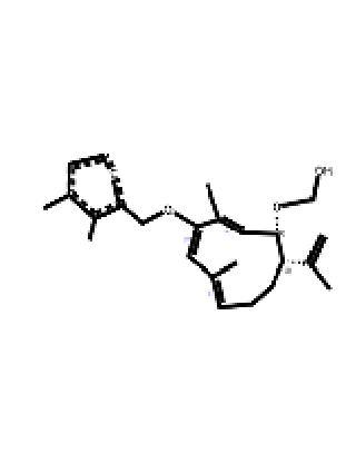 C=C(C)[C@@H]1CC/C=C(C)/C=C(OCc2cccc(C)c2C)\C(C)=C\[C@@H]1OCO